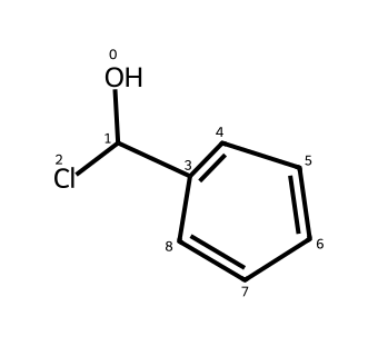 OC(Cl)c1ccccc1